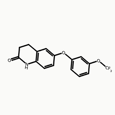 O=C1CCc2cc(Oc3cccc(OC(F)(F)F)c3)ccc2N1